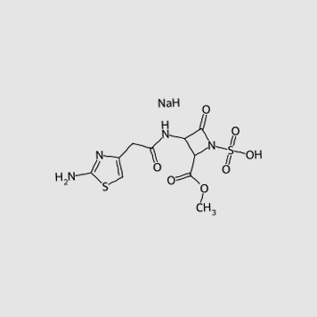 COC(=O)C1C(NC(=O)Cc2csc(N)n2)C(=O)N1S(=O)(=O)O.[NaH]